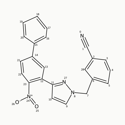 N#Cc1cccc(Cn2ccc(-c3cc(-c4ccccc4)ccc3[N+](=O)[O-])n2)c1